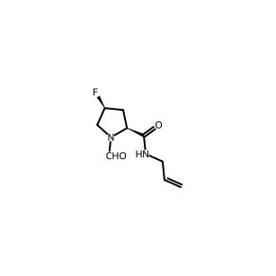 C=CCNC(=O)[C@@H]1C[C@H](F)CN1C=O